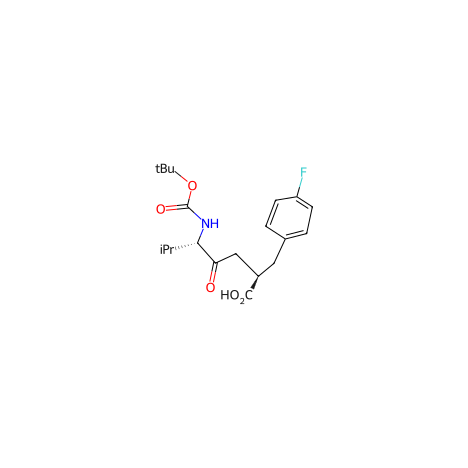 CC(C)[C@H](NC(=O)OC(C)(C)C)C(=O)C[C@@H](Cc1ccc(F)cc1)C(=O)O